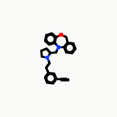 CNc1cccc(CCN2CCCC2CN2c3ccccc3COc3ccccc32)c1